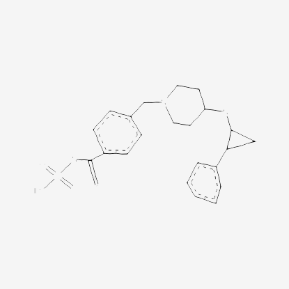 CC(C)S(=O)(=O)NC(=O)c1ccc(CN2CCC(NC3CC3c3ccccc3)CC2)cc1